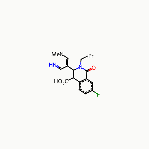 CN/C=C(\C=N)C1C(C(=O)O)c2ccc(F)cc2C(=O)N1CC(C)C